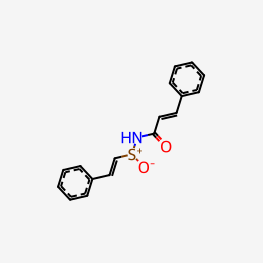 O=C(/C=C/c1ccccc1)N[S+]([O-])/C=C/c1ccccc1